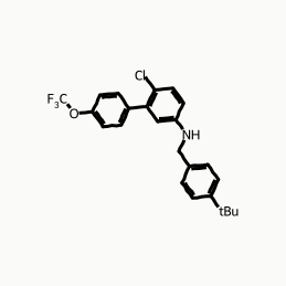 CC(C)(C)c1ccc(CNc2ccc(Cl)c(-c3ccc(OC(F)(F)F)cc3)c2)cc1